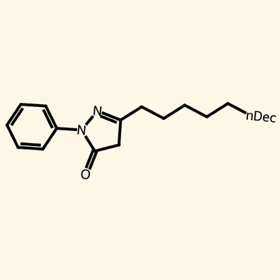 CCCCCCCCCCCCCCCC1=NN(c2ccccc2)C(=O)C1